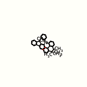 CC1(C)c2ccccc2-c2cccc(N(c3ccccc3)c3cccc4c3-c3ccccc3C(C)(C)C4(C)C)c21